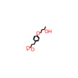 COC(=O)CCc1ccc(OCCC(C)O)cc1